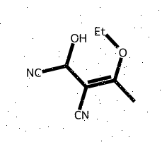 CCOC(C)=C(C#N)C(O)C#N